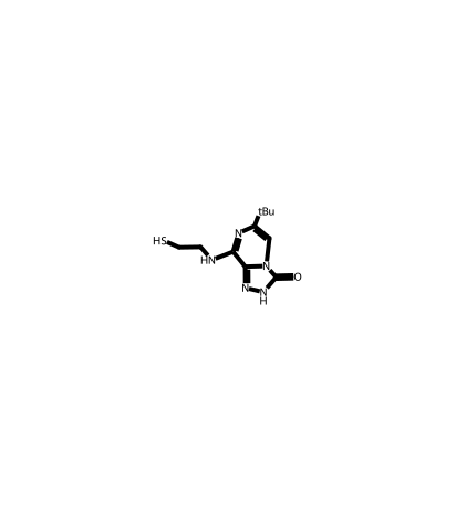 CC(C)(C)c1cn2c(=O)[nH]nc2c(NCCS)n1